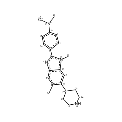 Cc1cc2nc(-c3ccc([S+](C)[O-])cc3)n(C)c2cc1C1CCNCC1